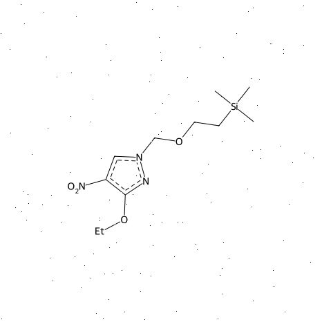 CCOc1nn(COCC[Si](C)(C)C)cc1[N+](=O)[O-]